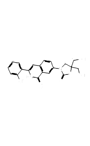 O=C1OC(CO)(CO)CN1c1ccc2cc(-c3ccccc3C(F)(F)F)[nH]c(=O)c2c1